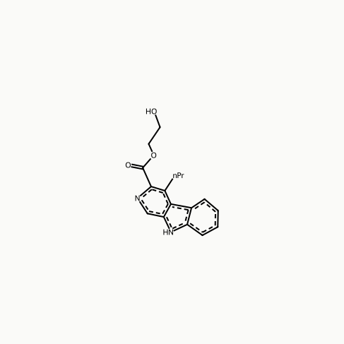 CCCc1c(C(=O)OCCO)ncc2[nH]c3ccccc3c12